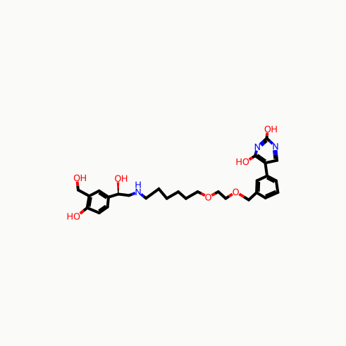 OCc1cc([C@@H](O)CNCCCCCCOCCOCc2cccc(-c3cnc(O)nc3O)c2)ccc1O